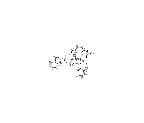 CN(C(=O)[N+](C)(C1CCN(c2ccc3cnccc3c2)CC1)C1CCc2ccc(OC(=O)O)cc21)c1ccccc1Cl